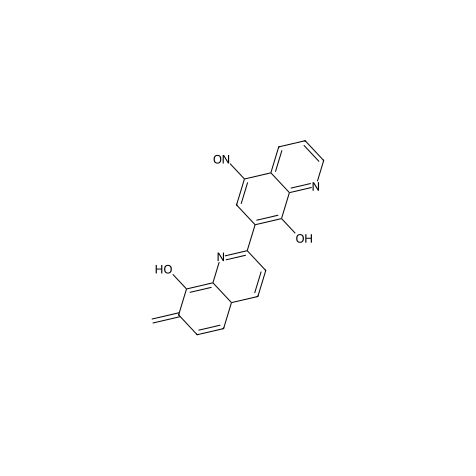 C=C1C=CC2C=CC(c3cc(N=O)c4cccnc4c3O)=NC2=C1O